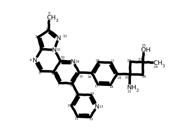 Cc1cc2ncc3cc(-c4cccnc4)c(-c4ccc(C5(N)CC(C)(O)C5)cc4)nc3n2n1